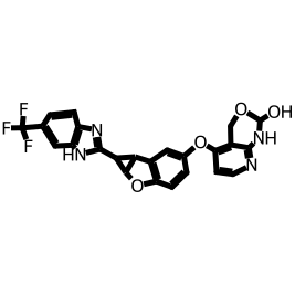 OC1Nc2nccc(Oc3ccc4c(c3)C3C(O4)C3c3nc4ccc(C(F)(F)F)cc4[nH]3)c2CO1